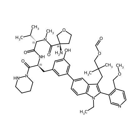 CCn1c(-c2cnccc2COC)c(CC(C)(C)COC=O)c2cc(-c3cc(O)cc(C[C@H](NC(=O)[C@H](C(C)C)N(C)C(=O)[C@@]4(N)CCOC4)C(=O)N4CCCCN4)c3)ccc21